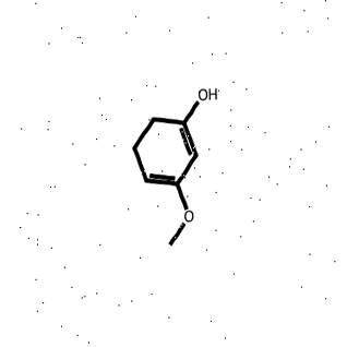 COC1=CC[CH]C(O)=C1